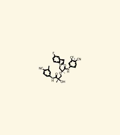 Cc1cc(NC(=O)[C@@](C)(O)CO[C@@](C)(Cn2ccc3cc(F)ccc32)C(=O)Nc2ccc(C#N)c(C(F)(F)F)c2)ccc1C#N